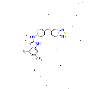 FC(F)(F)c1cc(Br)c2nc(Nc3ccc(Oc4ccc5nsnc5c4)cc3)[nH]c2c1